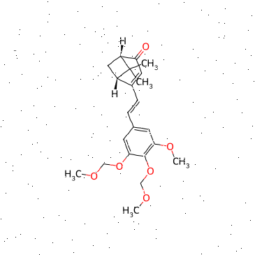 COCOc1cc(C=CC2=CC(=O)[C@H]3C[C@@H]2C3(C)C)cc(OC)c1OCOC